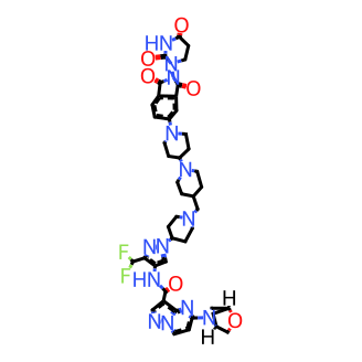 O=C1CCN(N2C(=O)c3ccc(N4CCC(N5CCC(CN6CCC(n7cc(NC(=O)c8cnn9ccc(N%10C[C@H]%11C[C@@H]%10CO%11)nc89)c(C(F)F)n7)CC6)CC5)CC4)cc3C2=O)C(=O)N1